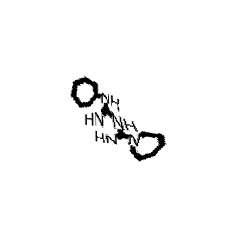 N=C(NC(=N)N1CCCCCC1)NC1CCCCCC1